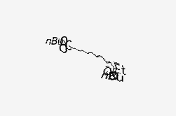 CCCCOC(=O)CCCCCCCCCCCC(CC)C(=O)OCCCC